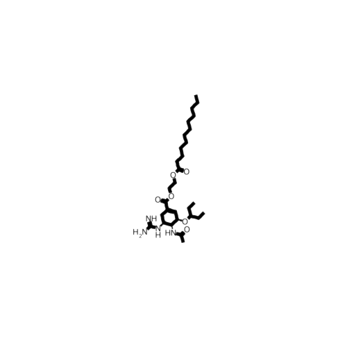 CCCCCCCCCCCC(=O)OCCOC(=O)C1=C[C@@H](OC(CC)CC)[C@H](NC(C)=O)[C@@H](NC(=N)N)C1